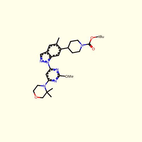 COc1nc(N2CCOCC2(C)C)cc(-n2ncc3cc(C)c(C4CCN(C(=O)OC(C)(C)C)CC4)cc32)n1